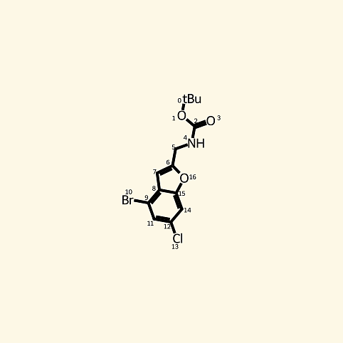 CC(C)(C)OC(=O)NCc1cc2c(Br)cc(Cl)cc2o1